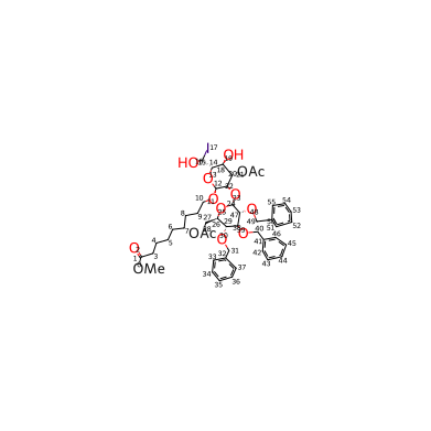 COC(=O)CCCCCCCCO[C@H]1O[C@H](C(O)I)[C@@H](O)[C@H](OC(C)=O)[C@H]1O[C@H]1O[C@H](COC(C)=O)[C@@H](OCc2ccccc2)[C@H](OCc2ccccc2)[C@H]1OCc1ccccc1